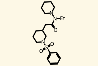 CCN(C(=O)CC1CCCN(S(=O)(=O)c2ccccc2)C1)N1CCCCC1